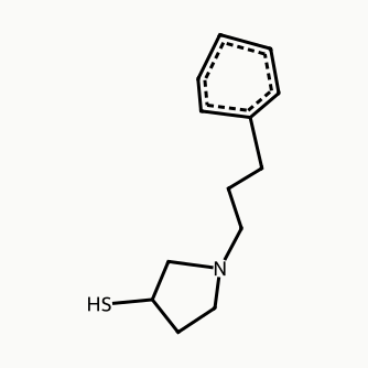 SC1CCN(CCCc2ccccc2)C1